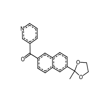 CC1(c2ccc3cc(C(=O)c4cccnc4)ccc3c2)OCCO1